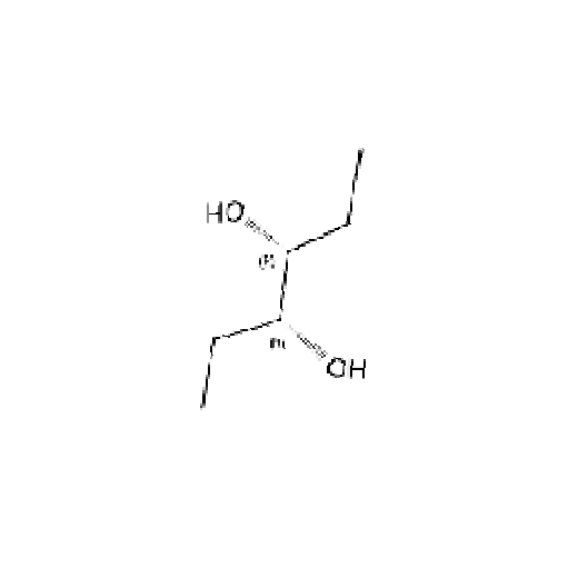 CC[C@@H](O)[C@H](O)CC